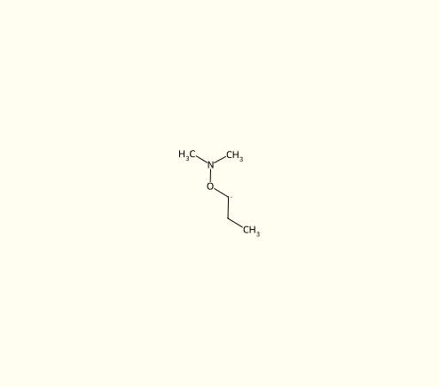 CC[CH]ON(C)C